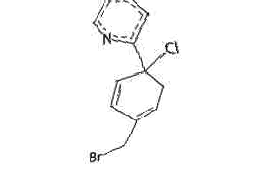 ClC1(c2ccccn2)C=CC(CBr)=CC1